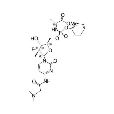 COC(=O)[C@@H](C)NP(=O)(OC[C@H]1O[C@@H](n2ccc(NC(=O)CN(C)C)nc2=O)[C@](C)(F)[C@@H]1O)Oc1ccccc1